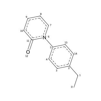 CCc1ccc(-n2ccccc2=O)cc1